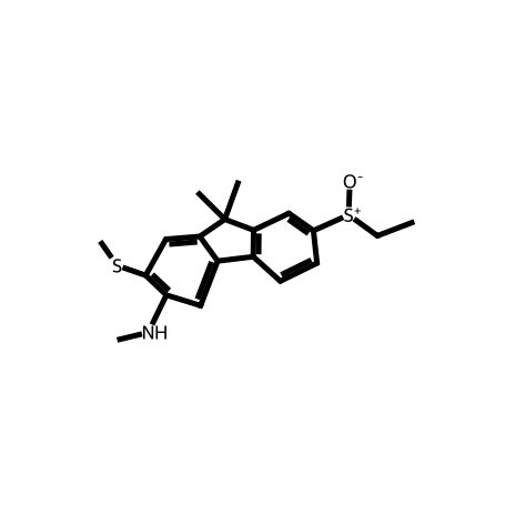 CC[S+]([O-])c1ccc2c(c1)C(C)(C)c1cc(SC)c(NC)cc1-2